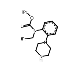 CC(C)CN(C(=O)OC(C)C)c1ccccc1N1CCNCC1